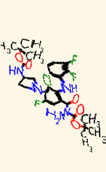 CC(C)(C)OC(=O)NC1CCN(c2c(F)cc(C(=O)N(N)C(=O)OC(C)(C)C)c(Nc3cccc(F)c3F)c2Cl)C1